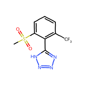 CS(=O)(=O)c1cccc(C(F)(F)F)c1-c1nnn[nH]1